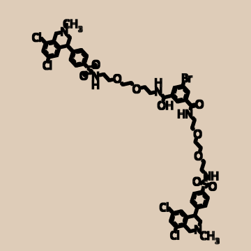 CN1Cc2c(Cl)cc(Cl)cc2C(c2ccc(S(=O)(=O)NCCOCCOCCNC(=O)c3cc(Br)cc(C(O)NCCOCCOCCNS(=O)(=O)c4ccc(C5CN(C)Cc6c(Cl)cc(Cl)cc65)cc4)c3)cc2)C1